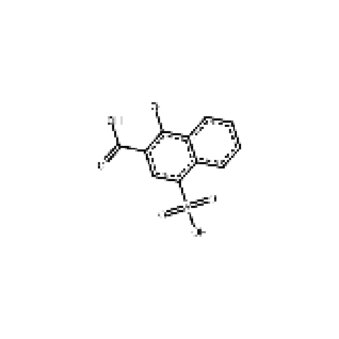 [O]c1c(C(=O)O)cc(S(=O)(=O)O)c2ccccc12